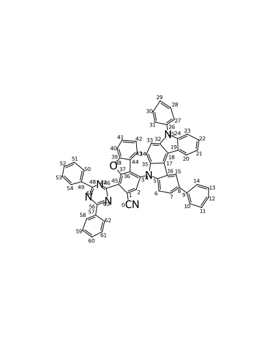 N#Cc1cc(-n2c3ccc(-c4ccccc4)cc3c3c4c5ccccc5n(-c5ccccc5)c4ccc32)c2c(oc3ccccc32)c1-c1nc(-c2ccccc2)nc(-c2ccccc2)n1